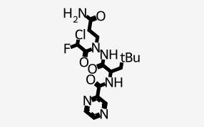 CC(C)(C)CC(NC(=O)c1cnccn1)C(=O)NN(CCC(N)=O)C(=O)C(F)Cl